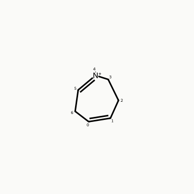 C1=CCC[N+]=CC1